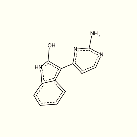 Nc1nccc(-c2c(O)[nH]c3ccccc23)n1